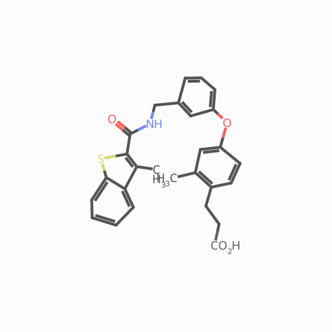 Cc1cc(Oc2cccc(CNC(=O)c3sc4ccccc4c3C)c2)ccc1CCC(=O)O